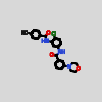 N#Cc1ccc(C(=O)Nc2cc(NC(=O)c3cccc(N4CCOCC4)c3)ccc2Cl)cc1